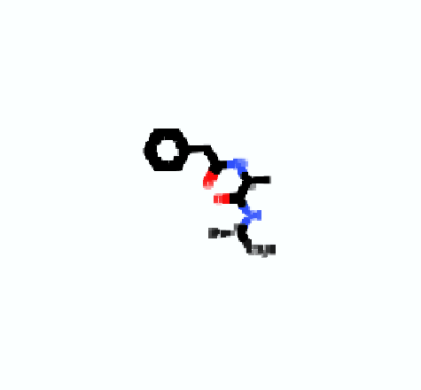 CC(C)[C@H](NC(=O)[C@H](C)NC(=O)Cc1ccccc1)C(=O)O